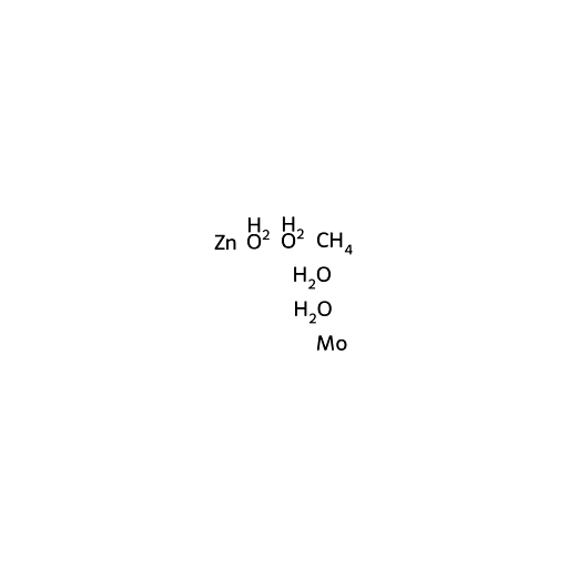 C.O.O.O.O.[Mo].[Zn]